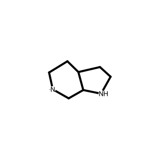 C1CC2CCNC2C[N]1